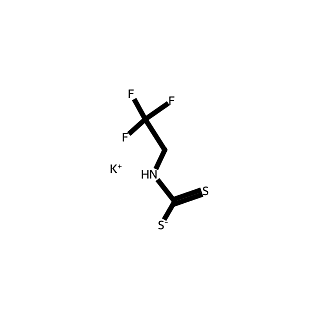 FC(F)(F)CNC(=S)[S-].[K+]